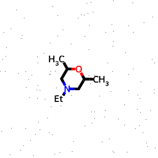 [CH2]CN1CC(C)OC(C)C1